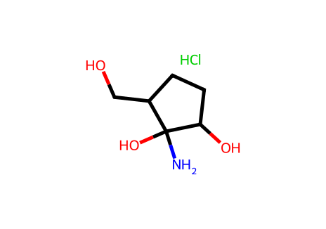 Cl.NC1(O)C(O)CCC1CO